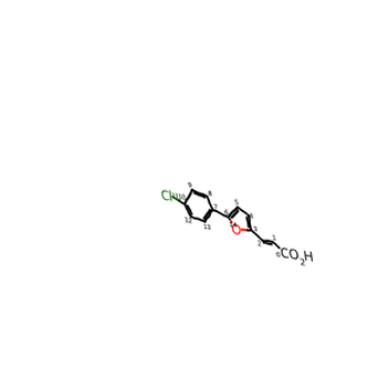 O=C(O)/C=C/c1ccc(-c2ccc(Cl)cc2)o1